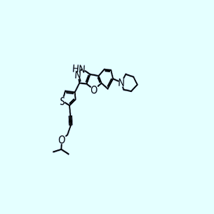 CC(C)OCC#Cc1cc(-c2n[nH]c3c2oc2cc(N4CCCCC4)ccc23)cs1